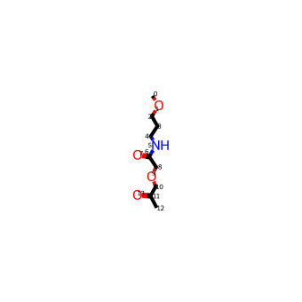 COCCCNC(=O)COCC(C)=O